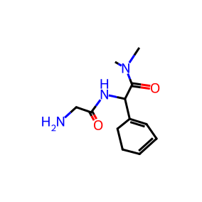 CN(C)C(=O)C(NC(=O)CN)C1=CC=CCC1